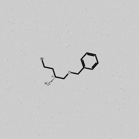 C[C@H](CCBr)COCc1ccccc1